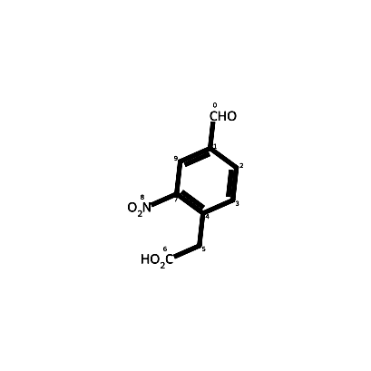 O=Cc1ccc(CC(=O)O)c([N+](=O)[O-])c1